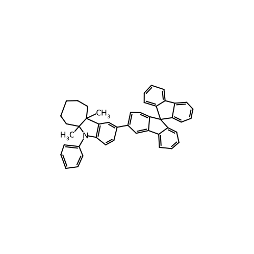 CC12CCCCCC1(C)N(c1ccccc1)c1ccc(-c3ccc4c(c3)-c3ccccc3C43c4ccccc4-c4ccccc43)cc12